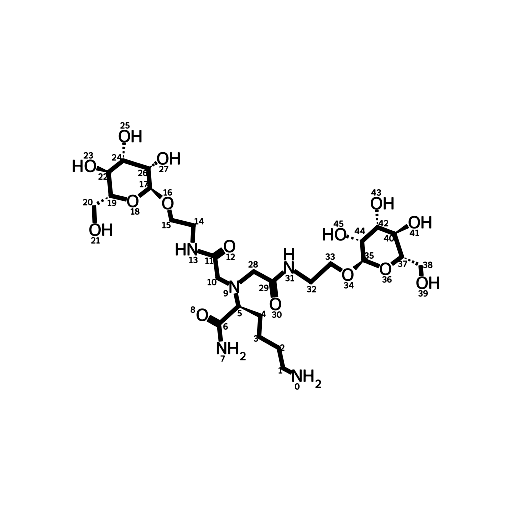 NCCCC[C@@H](C(N)=O)N(CC(=O)NCCO[C@H]1O[C@H](CO)[C@@H](O)[C@H](O)[C@@H]1O)CC(=O)NCCO[C@@H]1O[C@@H](CO)[C@H](O)[C@@H](O)[C@H]1O